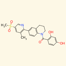 Cc1cc(S(C)(=O)=O)cnc1-c1ccc2c(c1)CCCN2C(=O)c1ccc(O)cc1O